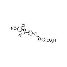 N#Cc1cc(Cl)c2oc(-c3ccc(OCCOC4CC(C(=O)O)C4)cc3)cc(=O)c2c1